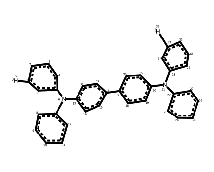 [3H]c1cccc(N(c2ccccc2)c2ccc(-c3ccc(N(c4ccccc4)c4cccc([3H])c4)cc3)cc2)c1